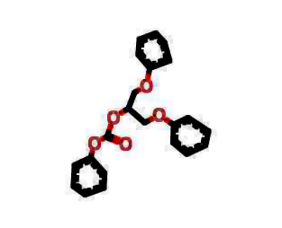 O=C(Oc1ccccc1)OC(COc1ccccc1)COc1ccccc1